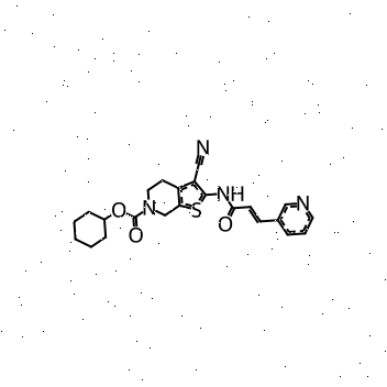 N#Cc1c(NC(=O)C=Cc2cccnc2)sc2c1CCN(C(=O)OC1CCCCC1)C2